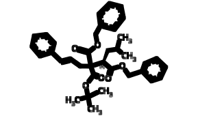 CC(C)C[C@@H](C(=O)OCc1ccccc1)C(CC=Cc1ccccc1)(C(=O)OCc1ccccc1)C(=O)OC(C)(C)C